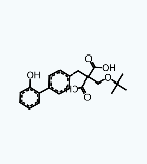 CC(C)(C)OCC(Cc1ccc(-c2ccccc2O)cc1)(C(=O)O)C(=O)O